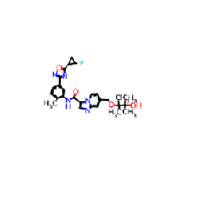 Cc1ccc(-c2noc([C@H]3C[C@@H]3F)n2)cc1NC(=O)c1cnc2cc(COC(C)(C)C(C)(C)O)ccn12